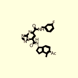 CC(=O)c1ccc2c(c1C)CC[C@@H]2NC(=O)c1cc(C(=O)NCc2cccc(F)c2)nc2ncnn12